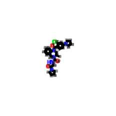 C[C@@H]1CN(C(=O)c2ccc(N3CCCC3)cc2Cl)c2ccccc2CN1C(=O)NCC(=O)N1CCCC1